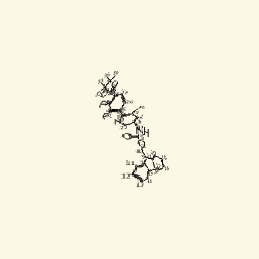 Cc1cc(NC(=O)OCC2c3ccccc3-c3ccccc32)cnc1-c1ccc(B2OC(C)(C)C(C)(C)O2)c(F)c1F